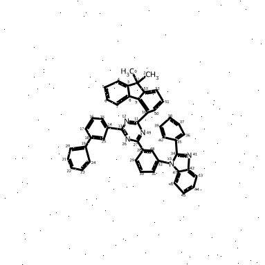 CC1(C)c2ccccc2-c2c(-c3nc(-c4cccc(-c5ccccc5)c4)nc(-c4cccc(-n5c(-c6ccccc6)nc6ccccc65)c4)n3)cccc21